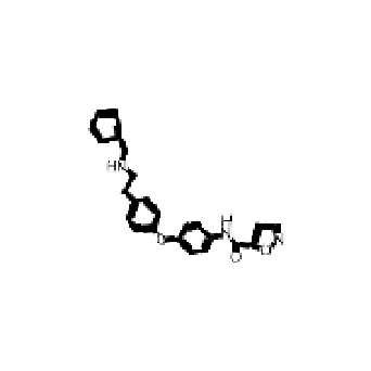 O=C(Nc1ccc(Oc2ccc(CCNCc3ccccc3)cc2)cc1)c1ccno1